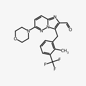 Cc1c(Cc2c(C=O)nc3ccc(N4CCOCC4)nn23)cccc1C(F)(F)F